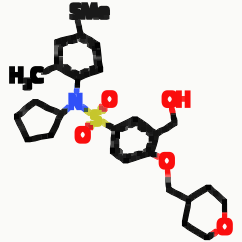 CSc1ccc(N(C2CCCC2)S(=O)(=O)c2ccc(OCC3CCOCC3)c(CO)c2)c(C)c1